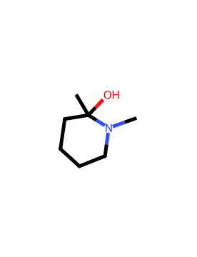 CN1CCCCC1(C)O